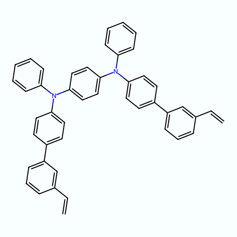 C=Cc1cccc(-c2ccc(N(c3ccccc3)c3ccc(N(c4ccccc4)c4ccc(-c5cccc(C=C)c5)cc4)cc3)cc2)c1